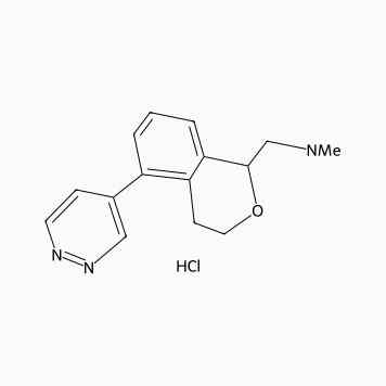 CNCC1OCCc2c(-c3ccnnc3)cccc21.Cl